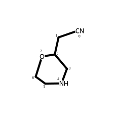 N#CCC1CNCCO1